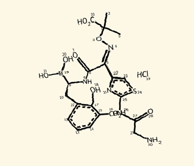 CC(C)(O/N=C(\C(=O)N[C@@H](Cc1cccc(C(=O)O)c1O)B(O)O)c1csc(NC(=O)CN)n1)C(=O)O.Cl